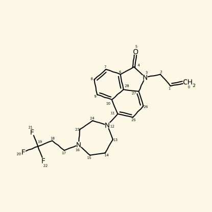 C=CCN1C(=O)c2cccc3c(N4CCCN(CCC(F)(F)F)CC4)ccc1c23